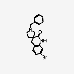 O=C1Nc2cc(Br)ccc2CC12CCN(Cc1ccccc1)C2